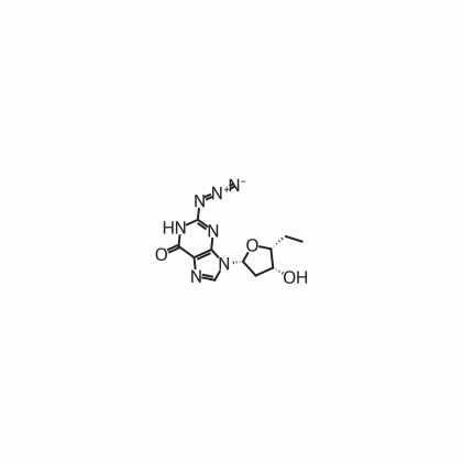 CC[C@H]1O[C@@H](n2cnc3c(=O)[nH]c(N=[N+]=[N-])nc32)C[C@H]1O